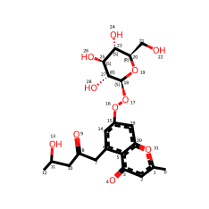 Cc1cc(=O)c2c(CC(=O)CC(C)O)cc(OO[C@@H]3O[C@H](CO)[C@@H](O)[C@H](O)[C@H]3O)cc2o1